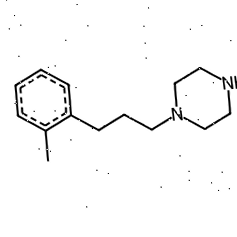 Cc1ccccc1CCCN1CCNCC1